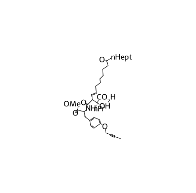 CC#CCOc1ccc(C[C@H](NC(=O)[C@@H](C=CCCCCCCC(=O)CCCCCCC)[C@@](O)(CCC)C(=O)O)C(=O)OC)cc1